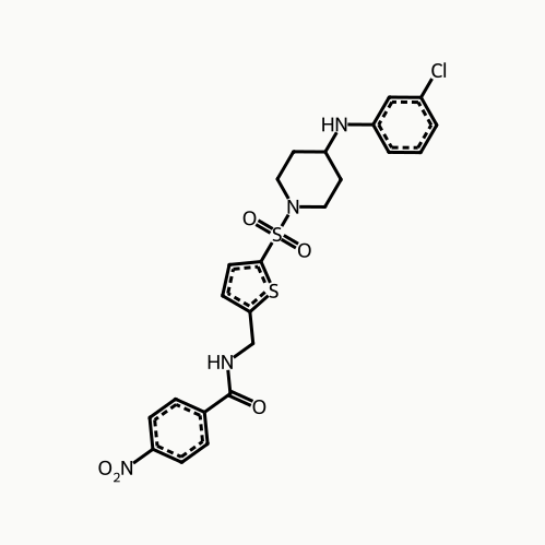 O=C(NCc1ccc(S(=O)(=O)N2CCC(Nc3cccc(Cl)c3)CC2)s1)c1ccc([N+](=O)[O-])cc1